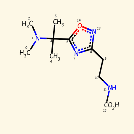 CN(C)C(C)(C)c1nc(CCNC(=O)O)no1